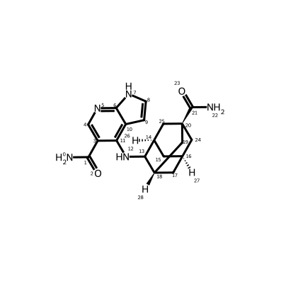 NC(=O)c1cnc2[nH]ccc2c1NC1[C@@H]2C[C@@H]3C[C@H]1C[C@@](C(N)=O)(C3)C2